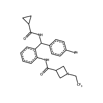 CC(C)c1ccc(C(NC(=O)C2CC2)c2ccccc2NC(=O)C2CN(CC(F)(F)F)C2)cc1